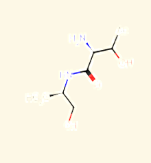 CC(=O)C(O)[C@H](N)C(=O)N[C@@H](CO)C(=O)O